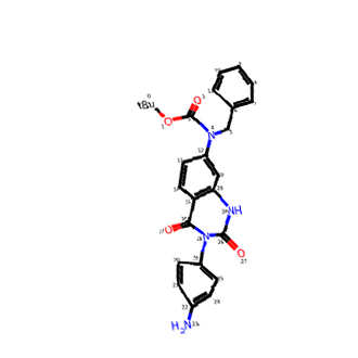 CC(C)(C)OC(=O)N(Cc1ccccc1)c1ccc2c(=O)n(-c3ccc(N)cc3)c(=O)[nH]c2c1